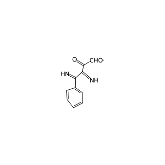 N=C(C(=N)c1ccccc1)C(=O)[C]=O